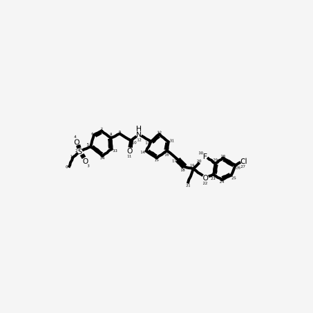 CCS(=O)(=O)c1ccc(CC(=O)Nc2ccc(C#CC(C)(C)Oc3ccc(Cl)cc3F)cc2)cc1